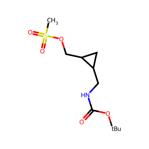 CC(C)(C)OC(=O)NCC1CC1COS(C)(=O)=O